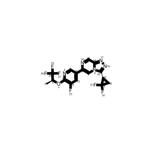 C[C@H](Oc1ncc(-c2cn3c([C@@H]4CC4(F)F)nnc3cn2)cc1F)C(F)(F)F